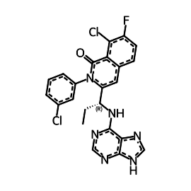 CC[C@@H](Nc1ncnc2[nH]cnc12)c1cc2ccc(F)c(Cl)c2c(=O)n1-c1cccc(Cl)c1